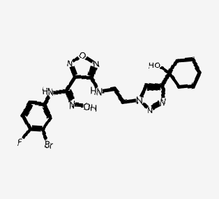 ON=C(Nc1ccc(F)c(Br)c1)c1nonc1NCCn1cc(C2(O)CCCCC2)nn1